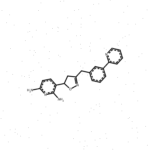 Nc1ccc(C2CC(Cc3cccc(-c4ccccn4)c3)=NO2)c(N)n1